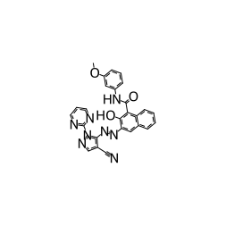 COc1cccc(NC(=O)c2c(O)c(/N=N/c3c(C#N)cnn3-c3ncccn3)cc3ccccc23)c1